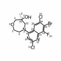 C[C@@]1(O)COCCN(c2nc(Cl)nc3c(F)c(Br)c(Cl)cc23)C1